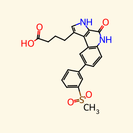 CS(=O)(=O)c1cccc(-c2ccc3[nH]c(=O)c4[nH]cc(CCCC(=O)O)c4c3c2)c1